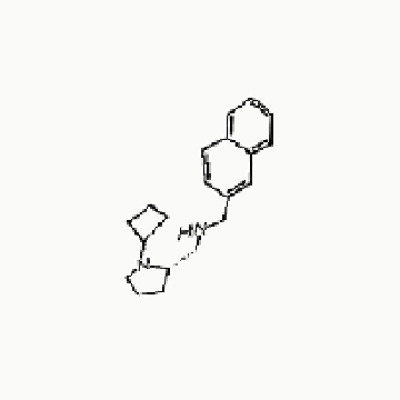 c1ccc2cc(CNC[C@@H]3CCCN3C3CCC3)ccc2c1